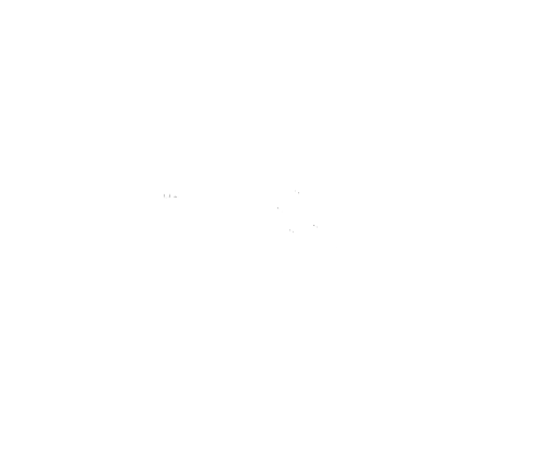 COc1ccc(N2N=C(c3ccccc3)N(Cl)N2c2ccccc2)cc1